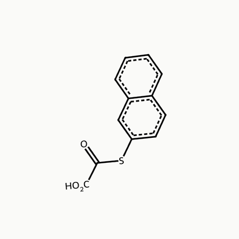 O=C(O)C(=O)Sc1ccc2ccccc2c1